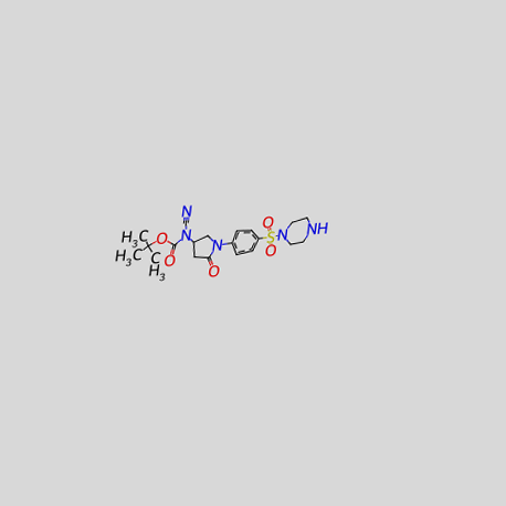 CC(C)(C)OC(=O)N(C#N)C1CC(=O)N(c2ccc(S(=O)(=O)N3CCNCC3)cc2)C1